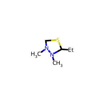 CCC1SCN(C)N1C